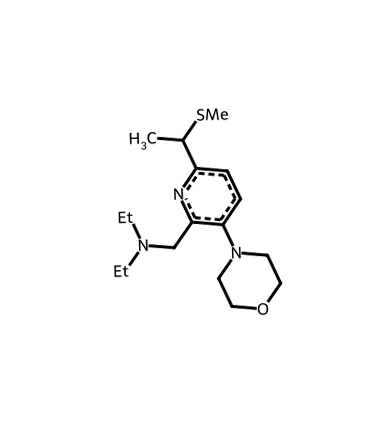 CCN(CC)Cc1nc(C(C)SC)ccc1N1CCOCC1